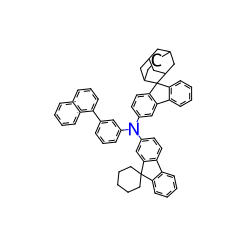 c1cc(-c2cccc3ccccc23)cc(N(c2ccc3c(c2)-c2ccccc2C32C3CCC4CC(C3)CC2C4)c2ccc3c(c2)C2(CCCCC2)c2ccccc2-3)c1